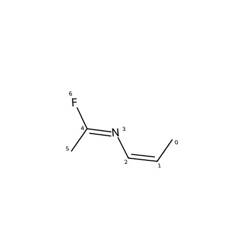 C/C=C\N=C(/C)F